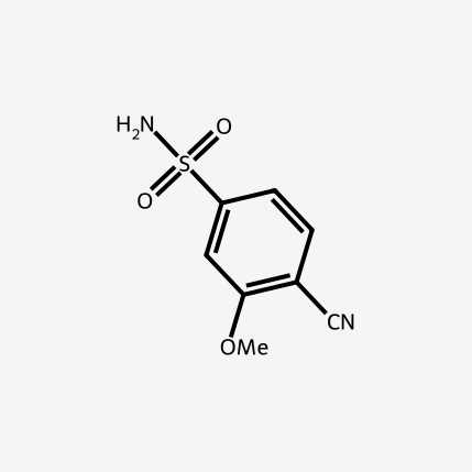 COc1cc(S(N)(=O)=O)ccc1C#N